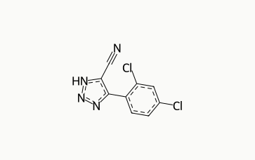 N#Cc1[nH]nnc1-c1ccc(Cl)cc1Cl